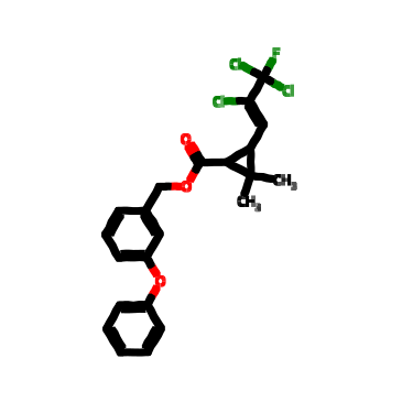 CC1(C)C(C=C(Cl)C(F)(Cl)Cl)C1C(=O)OCc1cccc(Oc2ccccc2)c1